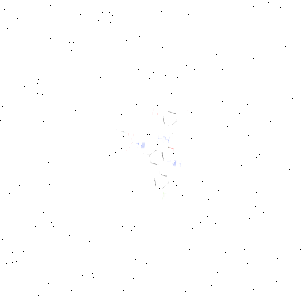 COc1cc(CNC(=O)c2cc(CNC(=O)OC(C)(C)C)cc(-c3ccc(F)cc3C)c2N)cc(OC)c1